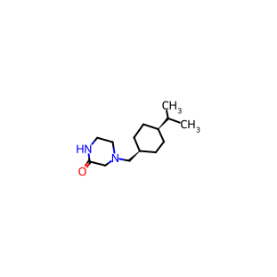 CC(C)[C@H]1CC[C@@H](CN2CCNC(=O)C2)CC1